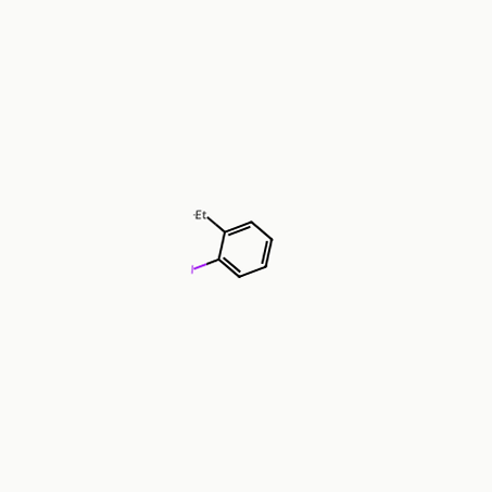 C[CH]c1ccccc1I